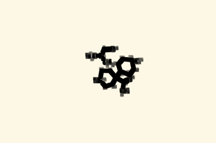 CN(C)C=O.Cl.O=C(O)C1(C2CCCCC2)CCNCC1